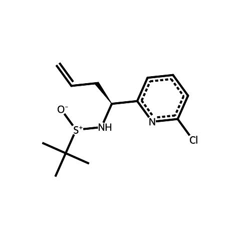 C=CC[C@H](N[S+]([O-])C(C)(C)C)c1cccc(Cl)n1